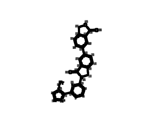 CC(C)n1cnnc1-c1cccc(N2Cc3ccc(-c4ccc5c(c4)C(=O)OC5)cc3C2=O)n1